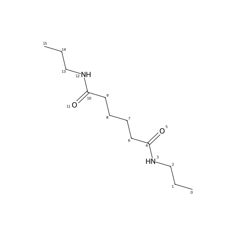 CCCNC(=O)CCCCC(=O)NCCC